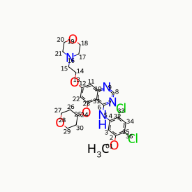 COc1cc(Nc2ncnc3cc(OCCN4CCOCC4)cc(OC4CCOCC4)c23)c(Cl)cc1Cl